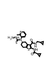 Cc1ncccc1N(C(=S)NN)[C@H]1CCc2sc(NC(=O)C3CC3)c(C(=O)NCC3CC3)c2C1